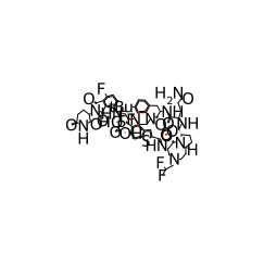 CC(C)(C)c1ccc(CC(NC(=O)C(CCC(N)=O)NC(=O)[C@@H]2CC[C@@H]3CCN(CC(F)F)C[C@H](NC(=O)c4cc5cc(C(F)(F)P(=O)(O)O)ccc5s4)C(=O)N32)C(=O)N2CCN(CCNc3ccc(F)c4c3C(=O)N(C3CCC(=O)NC3=O)C4=O)CC2)cc1